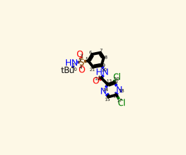 CC(C)(C)NS(=O)(=O)c1cccc(NC(=O)c2ncc(Cl)nc2Cl)c1